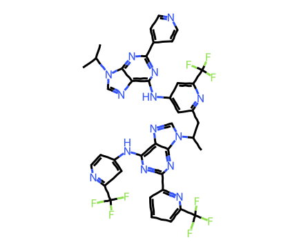 CC(C)n1cnc2c(Nc3cc(CC(C)n4cnc5c(Nc6ccnc(C(F)(F)F)c6)nc(-c6cccc(C(F)(F)F)n6)nc54)nc(C(F)(F)F)c3)nc(-c3ccncc3)nc21